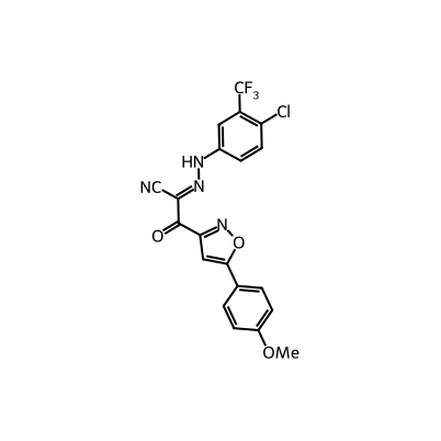 COc1ccc(-c2cc(C(=O)C(C#N)=NNc3ccc(Cl)c(C(F)(F)F)c3)no2)cc1